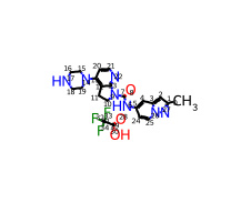 Cc1cc2cc(NC(=O)N3CCc4c(N5CCNCC5)ccnc43)ccn2n1.O=C(O)C(F)(F)F